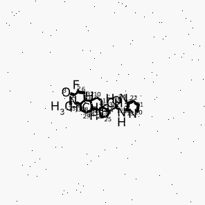 CN1C(=O)C(F)=C[C@]2(C)[C@H]3CC[C@]4(C)[C@@H](C(=O)Nc5ncccc5N)CC[C@H]4[C@@H]3CC[C@@H]12